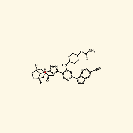 CC(=O)NC1[C@@H]2CC[C@H]1CN(c1nnc(-c3cnc(-c4ccc5cc(C#N)cnn45)cc3NC3CCC(OC(N)=O)CC3)s1)C2